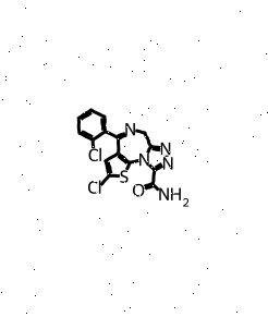 NC(=O)c1nnc2n1-c1sc(Cl)cc1C(c1ccccc1Cl)=NC2